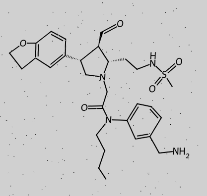 CCCCN(C(=O)CN1C[C@H](c2ccc3c(c2)CCO3)[C@@H](C=O)[C@@H]1CCNS(C)(=O)=O)c1cccc(CN)c1